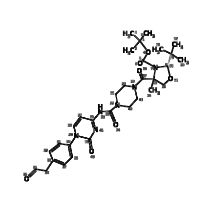 CC(C)(C)OC(=O)N1[C@H](C(C)(C)C)OCC1(C)C(=O)N1CCN(C(=O)Nc2ccn(-c3ccc(CC=O)cc3)c(=O)n2)CC1